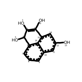 OC1=C(O)C(O)c2cccc3cc(O)cc1c23